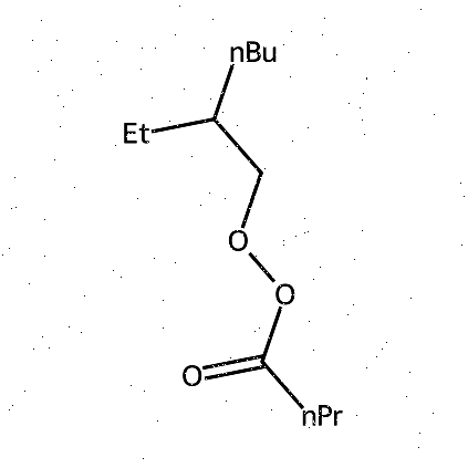 CCCCC(CC)COOC(=O)CCC